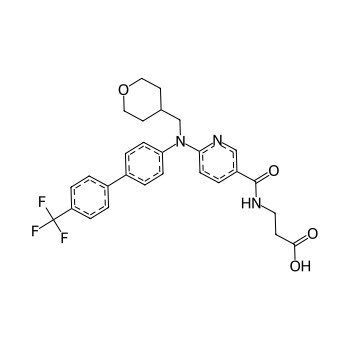 O=C(O)CCNC(=O)c1ccc(N(CC2CCOCC2)c2ccc(-c3ccc(C(F)(F)F)cc3)cc2)nc1